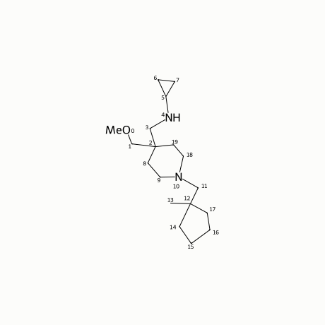 COCC1(CNC2CC2)CCN(CC2(C)CCCC2)CC1